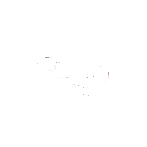 Cc1cc(C(=O)N(CCC2CCOC2)Cc2ccccc2F)[nH]n1